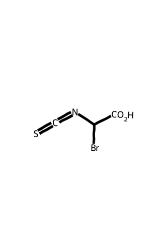 O=C(O)C(Br)N=C=S